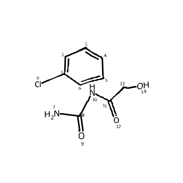 Clc1ccccc1.NC(=O)NC(=O)CO